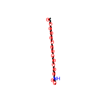 COCC(=O)NCCOCCOCCOCCOCCOCCOCCOCCOCCOCCOCCOCCOCCC(C)=O